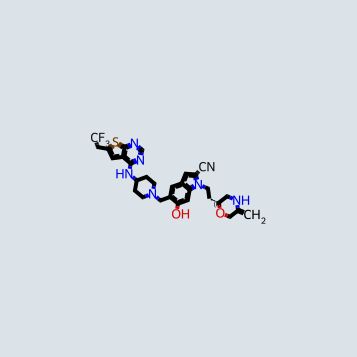 C=C1CO[C@H](CCn2c(C#N)cc3cc(CN4CCC(Nc5ncnc6sc(CC(F)(F)F)cc56)CC4)c(O)cc32)CN1